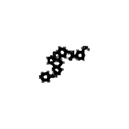 Cc1ccnc(C(=O)Nc2ccc(C)c(C3=Cc4cnc(Nc5ccncc5)nc4N4CCN=C34)c2)c1